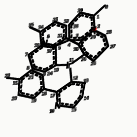 Cc1ccc(-c2nccc[c]2[Ir]([c]2cccnc2-c2ccc(C)cc2)[c]2cccnc2-c2ccc(C)cc2)cc1